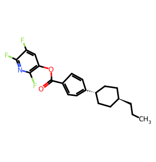 CCC[C@H]1CC[C@H](c2ccc(C(=O)Oc3cc(F)c(F)nc3F)cc2)CC1